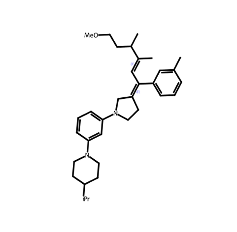 COCCC(C)/C(C)=C/C(=C1/CCN(c2cccc(N3CCC(C(C)C)CC3)c2)C1)c1cccc(C)c1